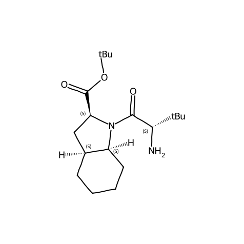 CC(C)(C)OC(=O)[C@@H]1C[C@@H]2CCCC[C@@H]2N1C(=O)[C@@H](N)C(C)(C)C